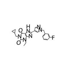 CCn1c(=O)n(CC2CC2)c(=O)c2[nH]c(-c3cnn(Cc4cccc(F)c4)c3)nc21